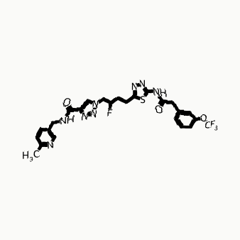 Cc1ccc(CNC(=O)c2cn(CC(F)CCc3nnc(NC(=O)Cc4cccc(OC(F)(F)F)c4)s3)nn2)cn1